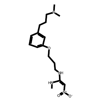 CNC(=C[N+](=O)[O-])NCCCOc1cccc(CCCN(C)C)c1